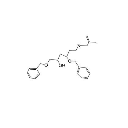 C=C(C)CSCCC(CC(O)COCc1ccccc1)OCc1ccccc1